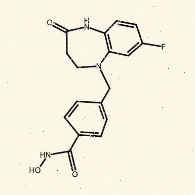 O=C1CCN(Cc2ccc(C(=O)NO)cc2)c2cc(F)ccc2N1